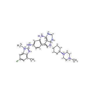 Cc1cc(F)cc2c1nc(Nc1ccc(-c3cn([C@H]4CC[C@H](N5CCN(C)CC5)CC4)c4ncnc(N)c34)cc1)n2C